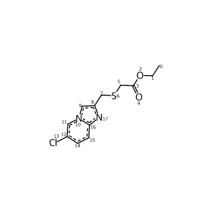 CCOC(=O)CSCc1cn2cc(Cl)ccc2n1